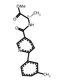 COC(=O)[C@H](C)NC(=O)c1ccc(-c2cccc(C)c2)nc1